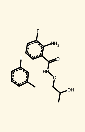 CC(O)CONC(=O)c1cccc(F)c1N.Cc1cccc(I)c1